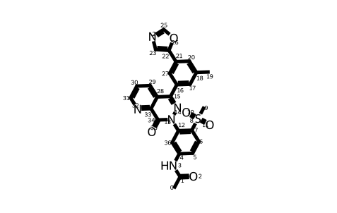 CC(=O)Nc1ccc(S(C)(=O)=O)c(-n2nc(-c3cc(C)cc(-c4cnco4)c3)c3cccnc3c2=O)c1